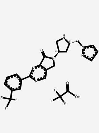 O=C(O)C(F)(F)F.O=C1c2nc(-c3cccc(C(F)(F)F)c3)ncc2CN1[C@H]1CN[C@H](Cn2cccn2)C1